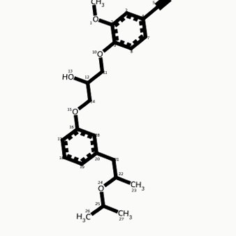 COc1cc(C#N)ccc1OCC(O)COc1cccc(CC(C)OC(C)C)c1